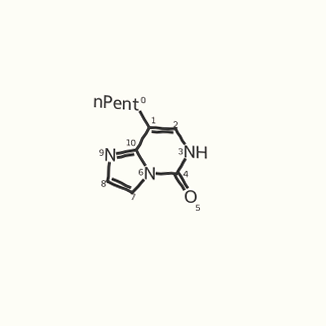 CCCCCc1c[nH]c(=O)n2ccnc12